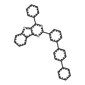 c1ccc(-c2ccc(-c3cccc(-c4nc(-c5ccccc5)c5oc6ccccc6c5n4)c3)cc2)cc1